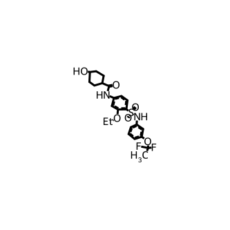 CCOc1cc(NC(=O)C2CCC(O)CC2)ccc1S(=O)(=O)Nc1cccc(OC(C)(F)F)c1